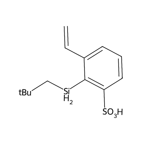 C=Cc1cccc(S(=O)(=O)O)c1[SiH2]CC(C)(C)C